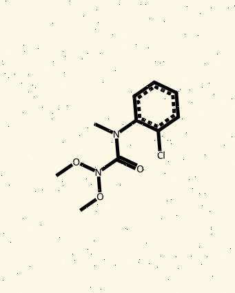 CON(OC)C(=O)N(C)c1ccccc1Cl